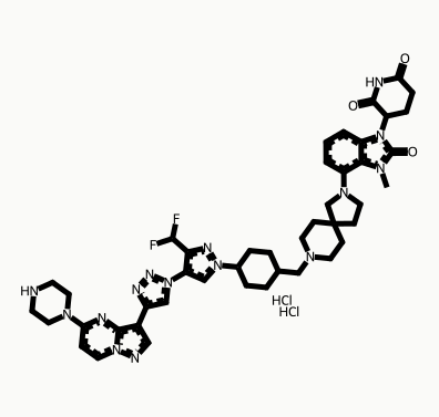 Cl.Cl.Cn1c(=O)n(C2CCC(=O)NC2=O)c2cccc(N3CCC4(CCN(CC5CCC(n6cc(-n7cc(-c8cnn9ccc(N%10CCNCC%10)nc89)nn7)c(C(F)F)n6)CC5)CC4)C3)c21